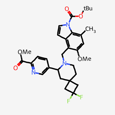 COC(=O)c1ccc(C2CC3(CCN2Cc2c(OC)cc(C)c4c2ccn4C(=O)OC(C)(C)C)CC(F)(F)C3)cn1